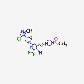 C=CC(=O)N1CCN(C2CN(c3cc(N4CCC(c5c(Cl)cnn5C)C5CC54)nc(C(F)F)c3C#N)C2)CC1